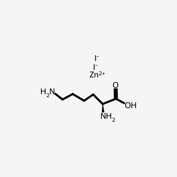 NCCCC[C@H](N)C(=O)O.[I-].[I-].[Zn+2]